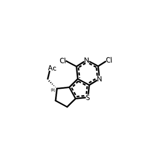 CC(=O)C[C@H]1CCc2sc3nc(Cl)nc(Cl)c3c21